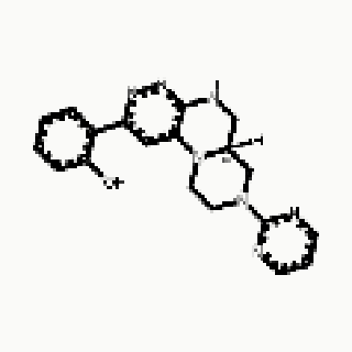 Oc1ccccc1-c1cc2c(nn1)NC[C@@H]1CN(c3ncccn3)CCN21